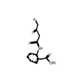 COC(=O)c1ccccc1NC(=O)CC(=O)CBr